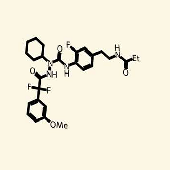 CCC(=O)NCCc1ccc(NC(=O)N(NC(=O)C(F)(F)c2cccc(OC)c2)C2CCCCC2)c(F)c1